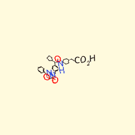 O=C(O)CC[C@H]1CC[C@@H](NC(=O)C(c2ccc(CN3N=C(c4ccccc4)OCC3=O)cc2)C2CCCC2)CC1